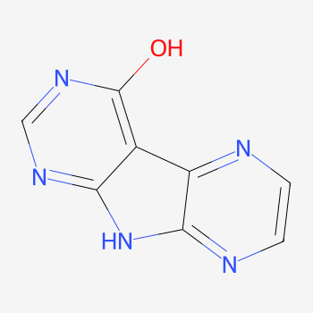 Oc1ncnc2[nH]c3nccnc3c12